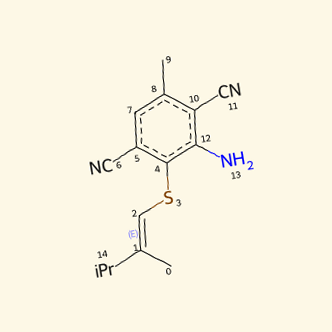 C/C(=C\Sc1c(C#N)cc(C)c(C#N)c1N)C(C)C